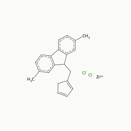 Cc1ccc2c(c1)C(CC1=CC=CC1)c1cc(C)ccc1-2.[Cl-].[Cl-].[Zr+2]